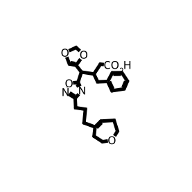 O=C(O)CC(Cc1ccccc1)C(C1=COCO1)c1nc(CCCC2=CCCOCC2)no1